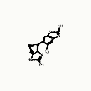 Sc1nc2c(-c3cc4sc(S)nc4cc3Cl)cccc2[nH]1